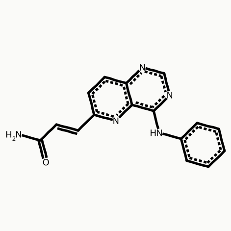 NC(=O)/C=C/c1ccc2ncnc(Nc3ccccc3)c2n1